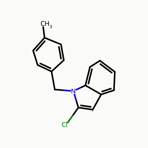 Cc1ccc(Cn2c(Cl)[c]c3ccccc32)cc1